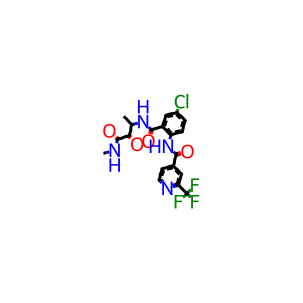 CNC(=O)C(=O)C(C)NC(=O)c1cc(Cl)ccc1NC(=O)c1ccnc(C(F)(F)F)c1